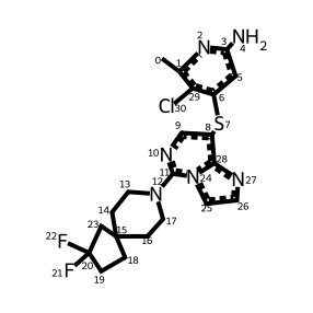 Cc1nc(N)cc(Sc2cnc(N3CCC4(CC3)CCC(F)(F)C4)n3ccnc23)c1Cl